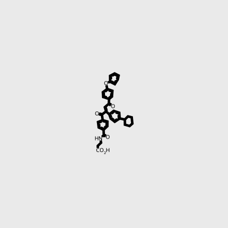 O=C(O)CCNC(=O)c1ccc(C(=O)C(=CC(=O)c2ccc(Oc3ccccc3)cc2)c2ccc(C3CCCCC3)cc2)cc1